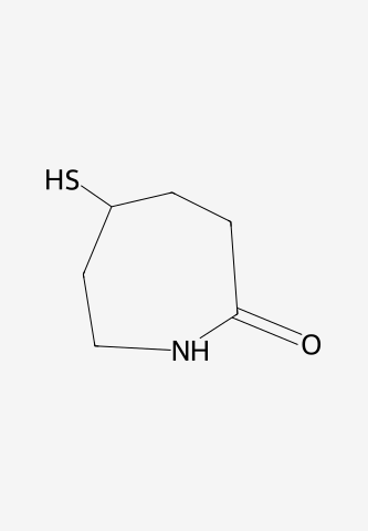 O=C1CCC(S)CCN1